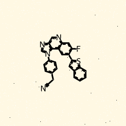 N#CCc1ccc(-n2cnc3cnc4cc(F)c(-c5cc6ccccc6s5)cc4c32)cc1